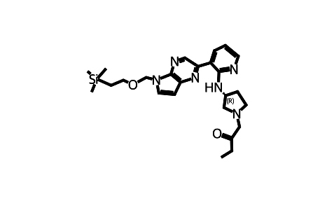 CCC(=O)CN1CC[C@@H](Nc2ncccc2-c2cnc3c(ccn3COCC[Si](C)(C)C)n2)C1